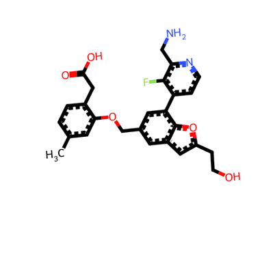 Cc1ccc(CC(=O)O)c(OCc2cc(-c3ccnc(CN)c3F)c3oc(CCO)cc3c2)c1